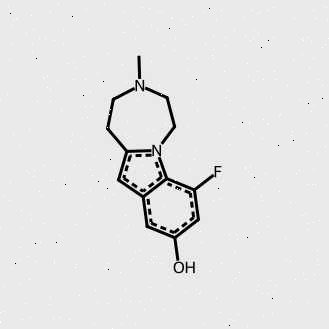 CN1CCc2cc3cc(O)cc(F)c3n2CC1